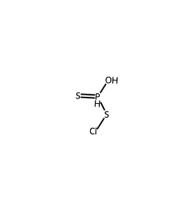 O[PH](=S)SCl